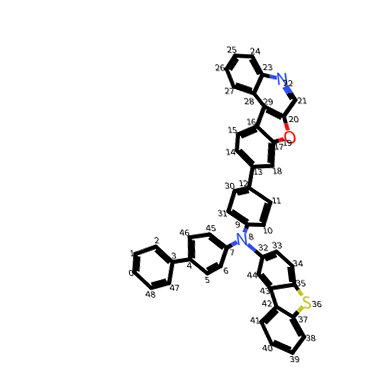 c1ccc(-c2ccc(N(c3ccc(-c4ccc5c(c4)oc4cnc6ccccc6c45)cc3)c3ccc4sc5ccccc5c4c3)cc2)cc1